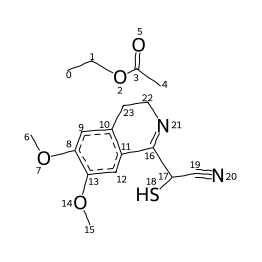 CCOC(C)=O.COc1cc2c(cc1OC)C(C(S)C#N)=NCC2